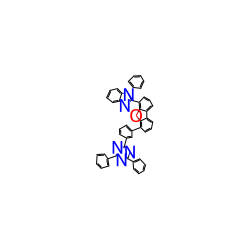 c1ccc(-c2nc(-c3ccccc3)nc(-c3cccc(-c4cccc5c4oc4c(-c6nc7ccccc7n6-c6ccccc6)cccc45)c3)n2)cc1